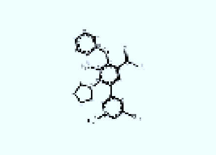 Cc1cc(C)cc(-c2cc(C(N)=O)c(Oc3ccccc3)c(C)c2N2CCCC2)c1